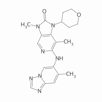 Cc1cc2ncnn2cc1Nc1ncc2c(c1C)n(C1CCOCC1)c(=O)n2C